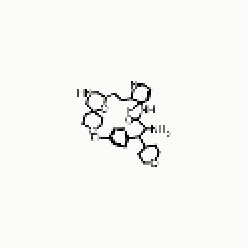 NC(C(=O)NC1(F)C=CC=NC1CC[C@@H]1CNCC2(CCOCC2)O1)C(c1ccc(Cl)cc1)C1CCOCC1